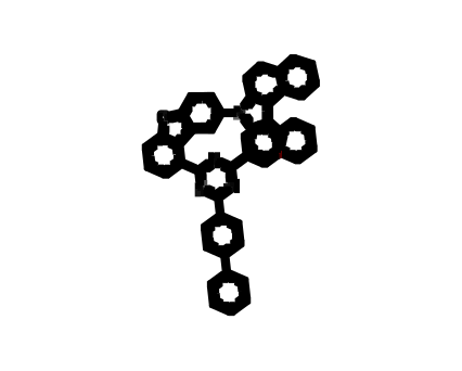 c1ccc(-c2ccc(-c3nc(-c4ccc5ccccc5c4)nc(-c4cccc5oc6ccc(-n7c8ccccc8c8c9ccccc9ccc87)cc6c45)n3)cc2)cc1